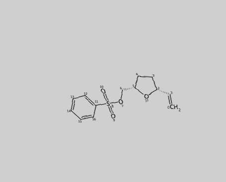 C=C[C@H]1CC[C@@H](COS(=O)(=O)c2ccccc2)O1